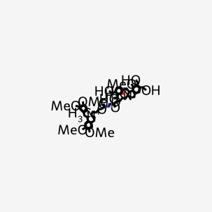 COc1ccc(CC2c3cc(OC)c(OC)cc3CC[N+]2(C)CCCOC(=O)/C=C/C(=O)OCCC[N+]2(C)CCc3cc(CO)c(CO)c(OC)c3C2Cc2ccc(CO)c(CO)c2)cc1OC